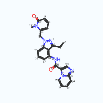 CCc1nn(Cc2cccc(=O)n2C)c2cccc(NC(=O)c3cnc4ccccn34)c12